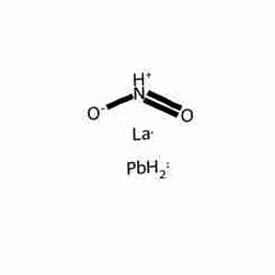 O=[NH+][O-].[La].[PbH2]